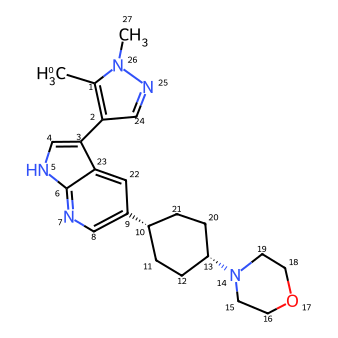 Cc1c(-c2c[nH]c3ncc([C@H]4CC[C@@H](N5CCOCC5)CC4)cc23)cnn1C